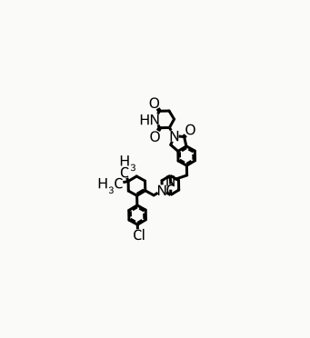 CC1(C)CCC(CN2CC3CCC2CN3Cc2ccc3c(c2)CN(C2CCC(=O)NC2=O)C3=O)=C(c2ccc(Cl)cc2)C1